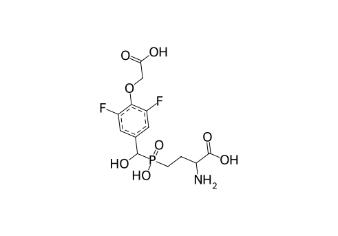 NC(CCP(=O)(O)C(O)c1cc(F)c(OCC(=O)O)c(F)c1)C(=O)O